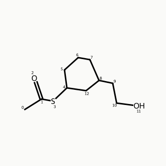 CC(=O)SC1CCCC(CCO)C1